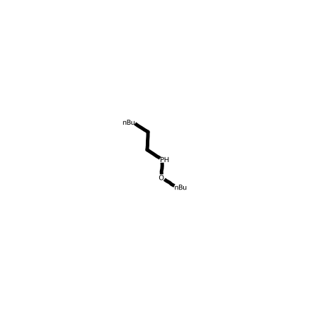 CCCCCCPOCCCC